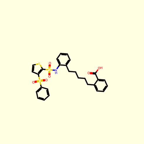 O=C(O)c1ccccc1CCCCCc1ccccc1NS(=O)(=O)c1sccc1S(=O)(=O)c1ccccc1